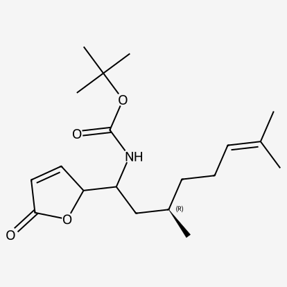 CC(C)=CCC[C@@H](C)CC(NC(=O)OC(C)(C)C)C1C=CC(=O)O1